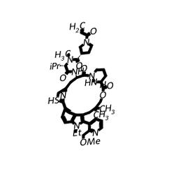 C=CC(=O)N1CC[C@H](C(=O)N(C)[C@H](C(=O)N[C@H]2CC3=NC(=[SH]C3)c3ccc4c(c3)c(c(-c3cccnc3COC)n4CC)CC(C)(C)COC(=O)[C@@H]3CCCN(N3)C2=O)C(C)C)C1